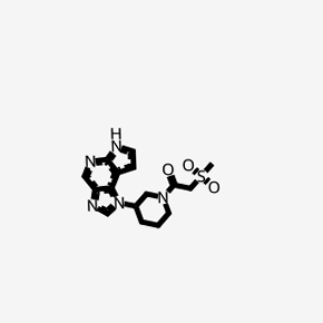 CS(=O)(=O)CC(=O)N1CCCC(n2cnc3cnc4[nH]ccc4c32)C1